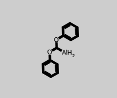 [AlH2][CH](Oc1ccccc1)Oc1ccccc1